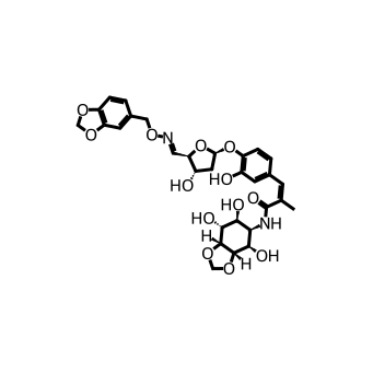 CC(=Cc1ccc(O[C@H]2C[C@H](O)[C@@H](C=NOCc3ccc4c(c3)OCO4)O2)c(O)c1)C(=O)N[C@@H]1[C@H](O)[C@@H](O)[C@H]2OCO[C@H]2[C@@H]1O